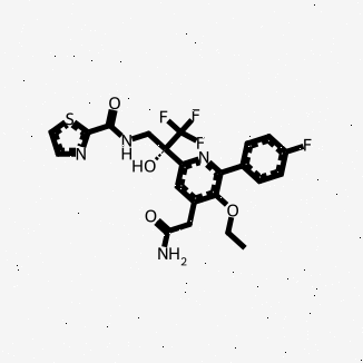 CCOc1c(CC(N)=O)cc([C@@](O)(CNC(=O)c2nccs2)C(F)(F)F)nc1-c1ccc(F)cc1